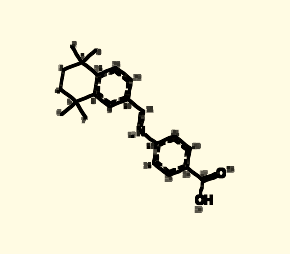 CC1(C)CCC(C)(C)c2cc(C=Nc3ccc(C(=O)O)cc3)ccc21